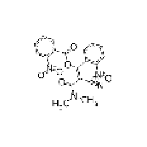 CN(C)C(=O)/C(C#N)=C(\OC(=O)c1ccccc1[N+](=O)[O-])c1ccccc1[N+](=O)[O-]